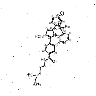 CN(C)CCCNC(=O)c1ccc(-c2ccc(-c3ccc(Cl)cc3)n2-c2cnccc2C(F)(F)F)cc1.Cl